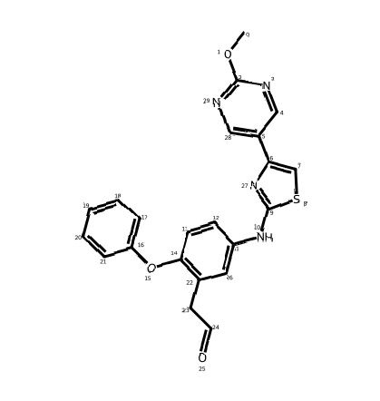 COc1ncc(-c2csc(Nc3ccc(Oc4ccccc4)c(CC=O)c3)n2)cn1